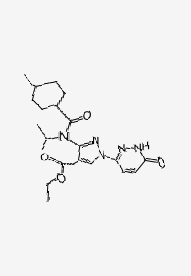 CCOC(=O)c1cn(-c2ccc(=O)[nH]n2)nc1N(C(=O)C1CCC(C)CC1)C(C)C